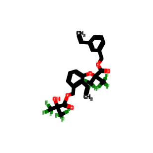 C=Cc1cccc(COC(=O)C(Oc2cccc(COC(=O)C(O)(C(F)(F)F)C(F)(F)F)c2C=C)(C(F)(F)F)C(F)(F)F)c1